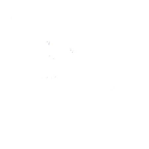 Ic1ccc2c3ccccc3n(-c3ccccc3N(c3ccc(-c4ccc5ccccc5c4)cc3)c3ccc(-c4cccc5c4oc4ccccc45)cc3)c2c1